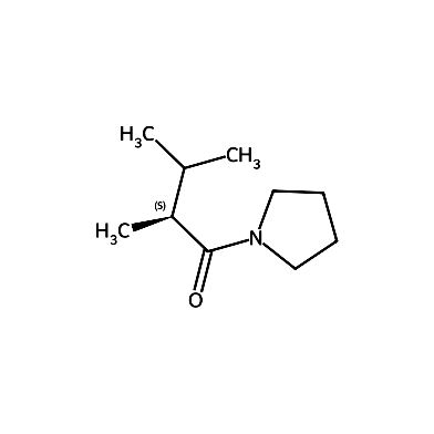 CC(C)[C@H](C)C(=O)N1CCCC1